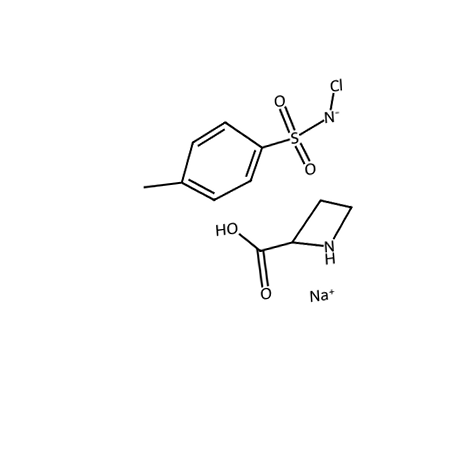 Cc1ccc(S(=O)(=O)[N-]Cl)cc1.O=C(O)C1CCN1.[Na+]